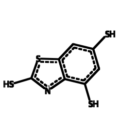 Sc1cc(S)c2nc(S)sc2c1